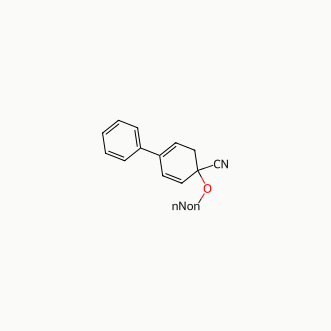 CCCCCCCCCOC1(C#N)C=CC(c2ccccc2)=CC1